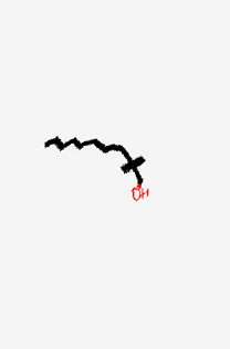 CCCCCCCCC(C)(C)CO